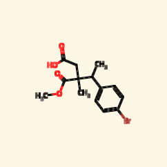 COC(=O)C(C)(CC(=O)O)C(C)c1ccc(Br)cc1